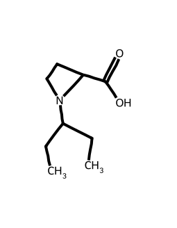 CCC(CC)N1CCC1C(=O)O